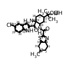 CN1CCc2nc(C(=O)NC3CC(C(C)(C)O)CCC3(N)C(=O)c3cc4cc(Cl)ccc4[nH]3)sc2C1.Cl